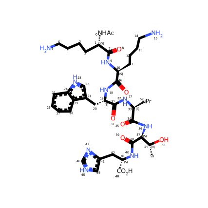 CC(=O)N[C@@H](CCCCN)C(=O)N[C@@H](CCCCN)C(=O)N[C@@H](Cc1c[nH]c2ccccc12)C(=O)N[C@H](C(=O)N[C@H](C(=O)N[C@@H](Cc1c[nH]cn1)C(=O)O)[C@@H](C)O)C(C)C